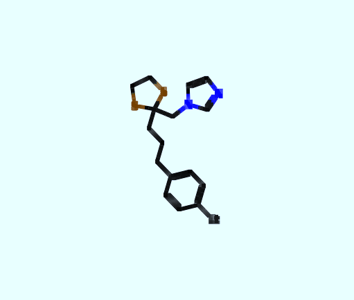 CCc1ccc(CCCC2(Cn3ccnc3)SCCS2)cc1